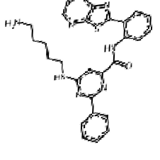 NCCCCCNc1cc(C(=O)Nc2ccccc2-c2nc3cccnc3s2)nc(-c2ccccc2)n1